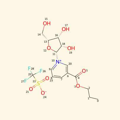 CCCOC(=O)c1ccc[n+]([C@@H]2O[C@H](CO)[C@H](O)[C@@H]2O)c1.O=S(=O)([O-])C(F)(F)F